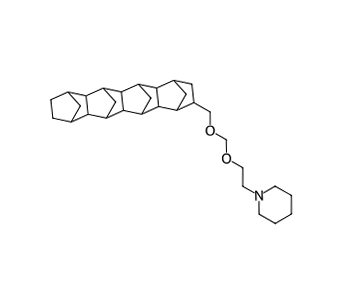 C1CCN(CCOCOCC2CC3CC2C2C4CC(C32)C2C3CC(C5C6CCC(C6)C35)C42)CC1